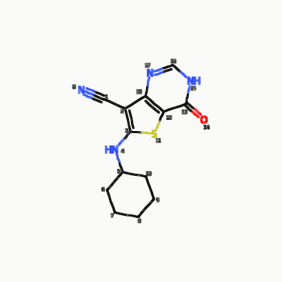 N#Cc1c(NC2CCCCC2)sc2c(=O)[nH]cnc12